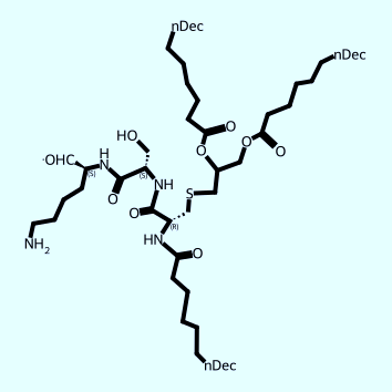 CCCCCCCCCCCCCCCC(=O)N[C@@H](CSCC(COC(=O)CCCCCCCCCCCCCCC)OC(=O)CCCCCCCCCCCCCCC)C(=O)N[C@@H](CO)C(=O)N[C@H]([C]=O)CCCCN